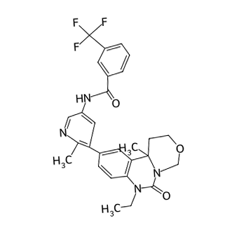 CCN1C(=O)N2COCCC2(C)c2cc(-c3cc(NC(=O)c4cccc(C(F)(F)F)c4)cnc3C)ccc21